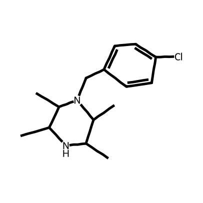 CC1NC(C)C(C)N(Cc2ccc(Cl)cc2)C1C